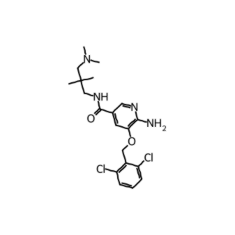 CN(C)CC(C)(C)CNC(=O)c1cnc(N)c(OCc2c(Cl)cccc2Cl)c1